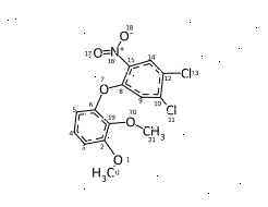 COc1cccc(Oc2cc(Cl)c(Cl)cc2[N+](=O)[O-])c1OC